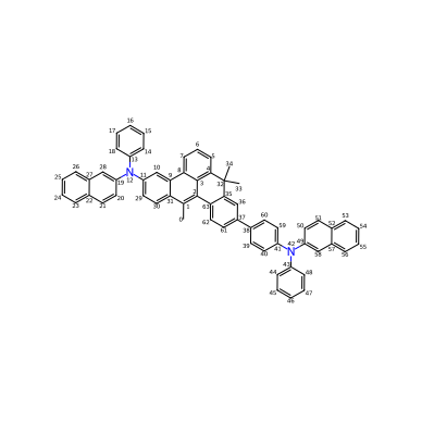 Cc1c2c3c(cccc3c3cc(N(c4ccccc4)c4ccc5ccccc5c4)ccc13)C(C)(C)c1cc(-c3ccc(N(c4ccccc4)c4ccc5ccccc5c4)cc3)ccc1-2